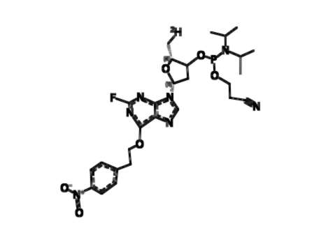 [2H]C[C@H]1O[C@@H](n2cnc3c(OCCc4ccc([N+](=O)[O-])cc4)nc(F)nc32)CC1OP(OCCC#N)N(C(C)C)C(C)C